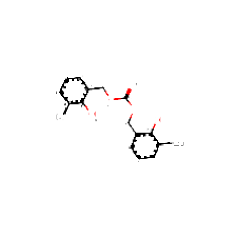 CC(C)(C)c1cccc(COC(=O)OCc2cccc(C(C)(C)C)c2O)c1O